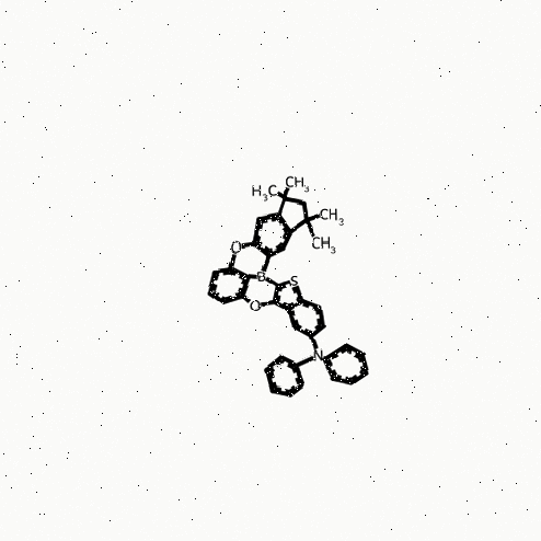 CC1(C)CC(C)(C)c2cc3c(cc21)Oc1cccc2c1B3c1sc3ccc(N(c4ccccc4)c4ccccc4)cc3c1O2